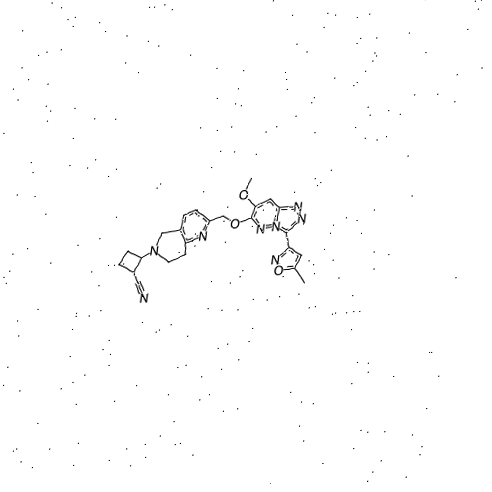 COc1cc2nnc(-c3cc(C)on3)n2nc1OCc1ccc2c(n1)CCN(C1CCC1C#N)C2